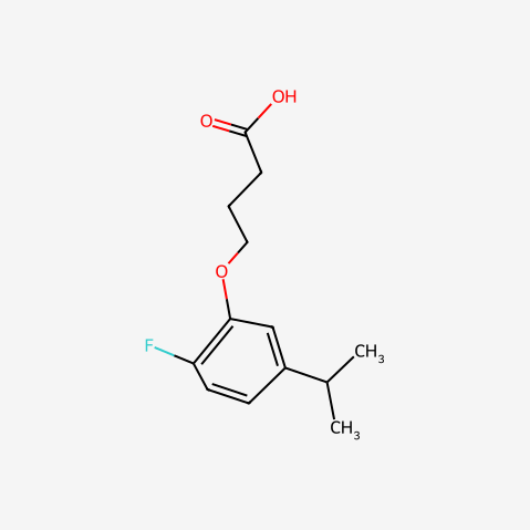 CC(C)c1ccc(F)c(OCCCC(=O)O)c1